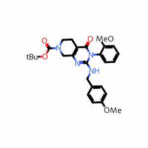 COc1ccc(CNc2nc3c(c(=O)n2-c2ccccc2OC)CCN(C(=O)OC(C)(C)C)C3)cc1